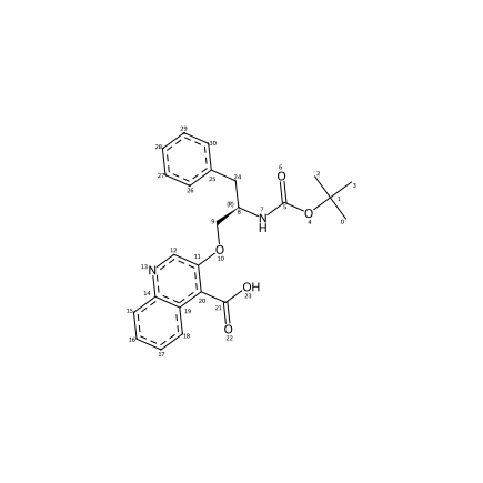 CC(C)(C)OC(=O)N[C@@H](COc1cnc2ccccc2c1C(=O)O)Cc1ccccc1